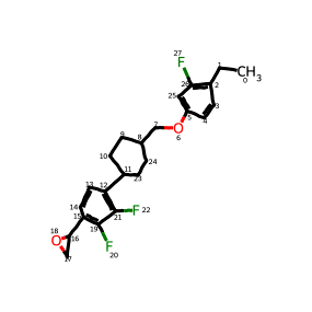 CCc1ccc(OCC2CCC(c3ccc(C4CO4)c(F)c3F)CC2)cc1F